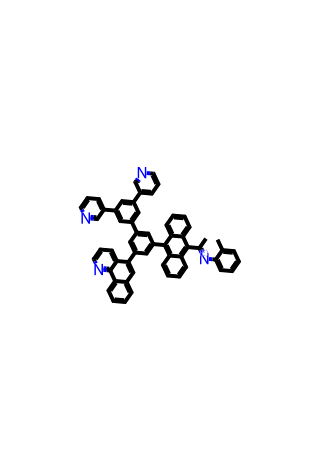 C/C(=N\c1ccccc1C)c1c2ccccc2c(-c2cc(-c3cc(-c4cccnc4)cc(-c4cccnc4)c3)cc(-c3cc4ccccc4c4ncccc34)c2)c2ccccc12